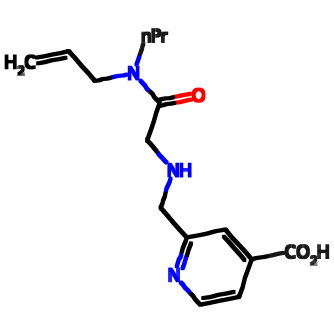 C=CCN(CCC)C(=O)CNCc1cc(C(=O)O)ccn1